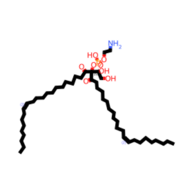 CCCCCCCC/C=C\CCCCCCCCCCCC(=O)C(OP(=O)(O)OCCN)(C(=O)CCCCCCCCCCC/C=C\CCCCCCCC)[C@@H](O)CO